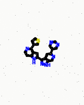 c1ncc(-c2cc3c(-c4cc5c(-c6ccsc6)nccc5[nH]4)n[nH]c3cn2)cn1